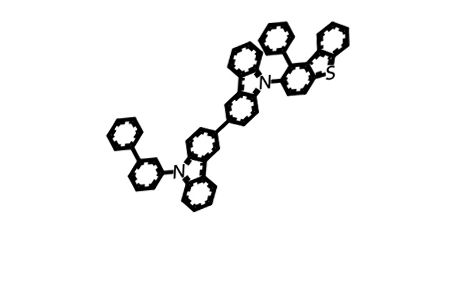 c1ccc(-c2cccc(-n3c4ccccc4c4cc(-c5ccc6c(c5)c5ccccc5n6-c5ccc6sc7ccccc7c6c5-c5ccccc5)ccc43)c2)cc1